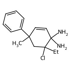 CCC1(Cl)CC(C)(c2ccccc2)C=CC1(N)N